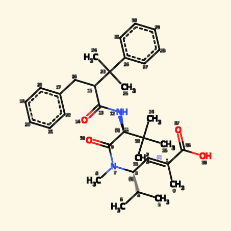 C/C(=C\[C@H](C(C)C)N(C)C(=O)[C@@H](NC(=O)C(Cc1ccccc1)C(C)(C)c1ccccc1)C(C)(C)C)C(=O)O